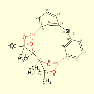 CC1(C)OB2OC1(C)C1(C)OB(OC1(C)C)c1cccc(c1)[SiH2]c1cccc2c1